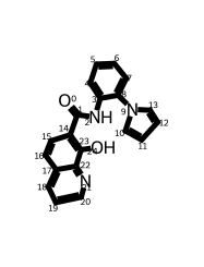 O=C(Nc1ccccc1-n1cccc1)c1ccc2cccnc2c1O